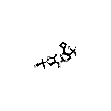 Cc1nn(C(C)(C)C#N)cc1Nc1ncc(C(F)(F)F)c(C2CCC2)n1